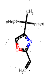 C=Cc1nc(C(C)(CCCCCC)CCCCCCC)co1